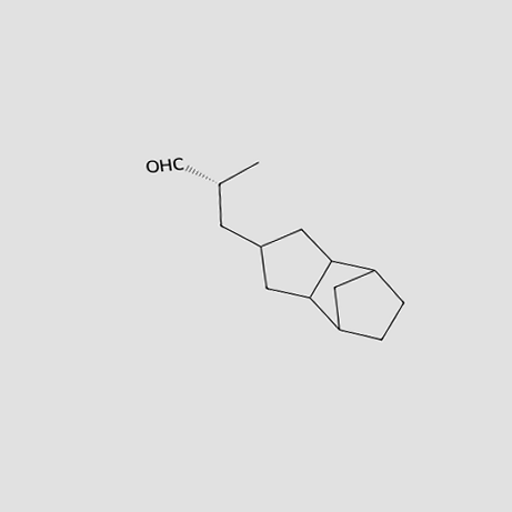 C[C@@H](C=O)CC1CC2C3CCC(C3)C2C1